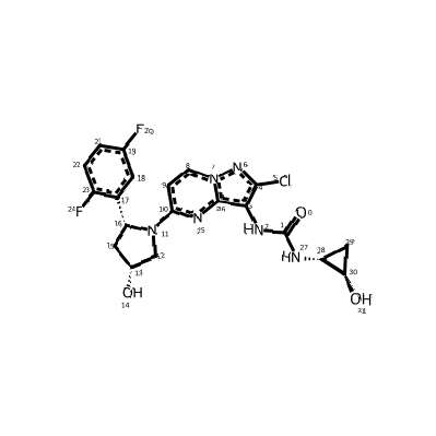 O=C(Nc1c(Cl)nn2ccc(N3C[C@H](O)C[C@@H]3c3cc(F)ccc3F)nc12)N[C@@H]1C[C@H]1O